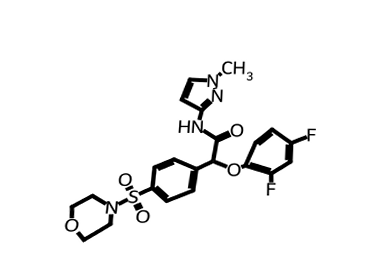 Cn1ccc(NC(=O)C(Oc2ccc(F)cc2F)c2ccc(S(=O)(=O)N3CCOCC3)cc2)n1